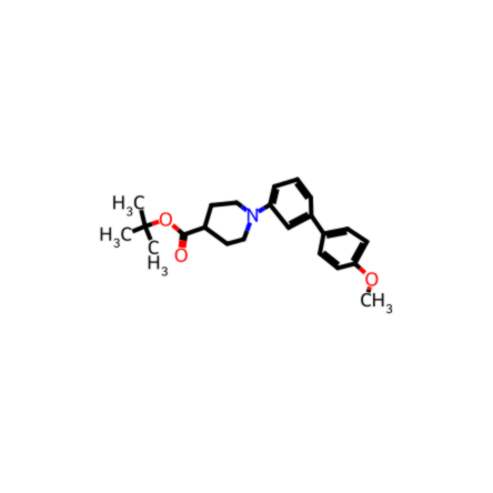 COc1ccc(-c2cccc(N3CCC(C(=O)OC(C)(C)C)CC3)c2)cc1